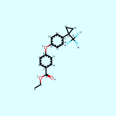 CCOC(=O)c1ccc(Oc2ccc(C3(C(F)(F)F)CC3)cc2)cc1